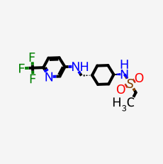 CCS(=O)(=O)N[C@H]1CC[C@H](CNc2ccc(C(F)(F)F)nc2)CC1